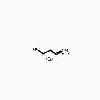 C=CCCS.[Cu]